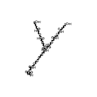 CCCCCCCCCCCCCCCC(=O)NCCOCCNC(=O)CCOCCNC(=O)CC[C@H](NC(=O)CCOCCOCCOCCOCCNC(=O)CCN1C(=O)CC(C(C)C)C1=O)C(=O)NCCOCCC(=O)NCCOCCNC(=O)CCCCCCCCCCCCCCC